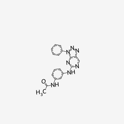 CC(=O)Nc1cccc(Nc2ncc3nnn(-c4ccccc4)c3n2)c1